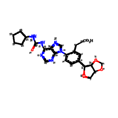 O=C(O)Cc1cc(C2OCC3OCOC32)ccc1-n1cnc2c(NC(=O)NC3CCCC3)ncnc21